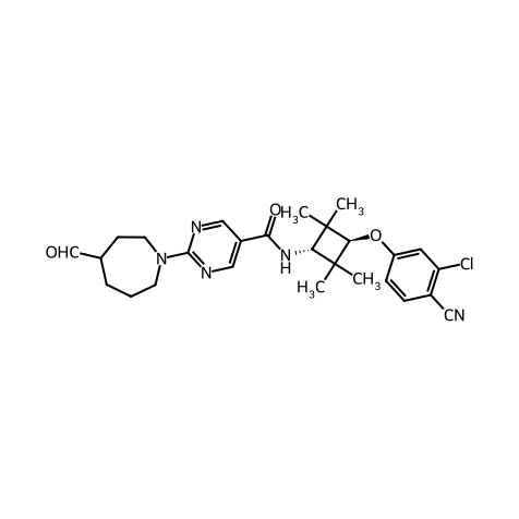 CC1(C)[C@H](NC(=O)c2cnc(N3CCCC(C=O)CC3)nc2)C(C)(C)[C@H]1Oc1ccc(C#N)c(Cl)c1